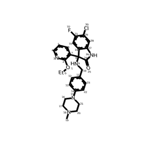 CCOc1ncccc1C1(NCc2ccc(N3CCN(C)CC3)cc2)C(=O)Nc2cc(Cl)c(F)cc21